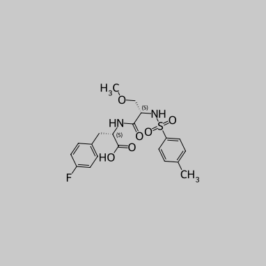 COC[C@H](NS(=O)(=O)c1ccc(C)cc1)C(=O)N[C@@H](Cc1ccc(F)cc1)C(=O)O